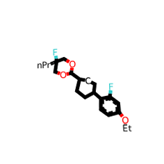 CCCC1(F)COC(C2CCC(c3ccc(OCC)cc3F)CC2)OC1